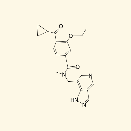 CCOc1cc(C(=O)N(C)Cc2cncc3cn[nH]c23)ccc1C(=O)C1CC1